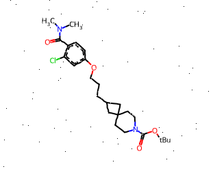 CN(C)C(=O)c1ccc(OCCCC2CC3(CCN(C(=O)OC(C)(C)C)CC3)C2)cc1Cl